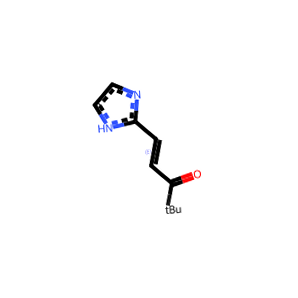 CC(C)(C)C(=O)/C=C/c1ncc[nH]1